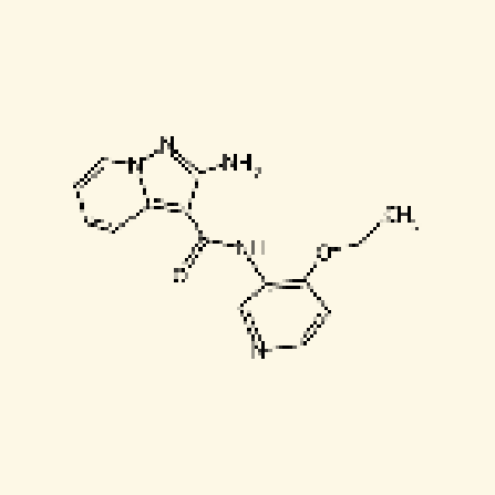 CCOc1ccncc1NC(=O)c1c(N)nn2ccccc12